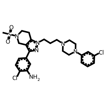 CS(=O)(=O)N1CCc2c(c(-c3ccc(Cl)c(N)c3)nn2CCCN2CCN(c3cccc(Cl)c3)CC2)C1